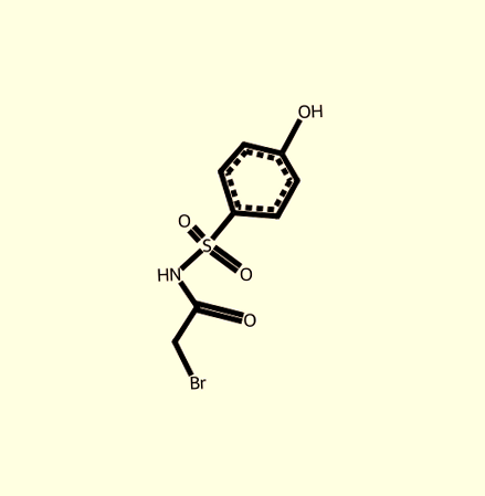 O=C(CBr)NS(=O)(=O)c1ccc(O)cc1